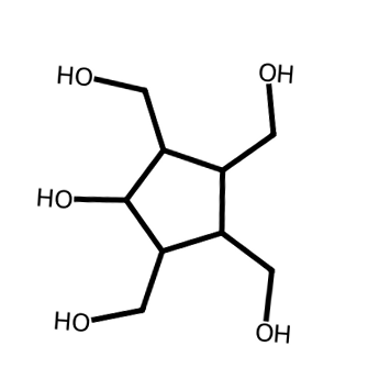 OCC1C(O)C(CO)C(CO)C1CO